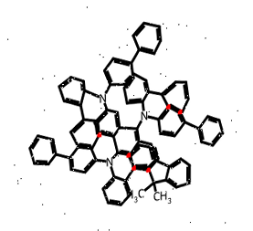 CC1(C)c2ccccc2-c2cc3c(N(c4ccc(-c5ccccc5)cc4)c4ccccc4-c4ccccc4)c4cc(N(c5ccc(-c6ccccc6)cc5)c5ccccc5-c5ccccc5)ccc4c(N(c4ccc(-c5ccccc5)cc4)c4ccccc4-c4ccccc4)c3cc21